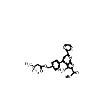 CCCCC(=O)c1sc2nc(-c3nccs3)cc(-c3ccc(COC(=O)CN(C)C)cc3)c2c1N